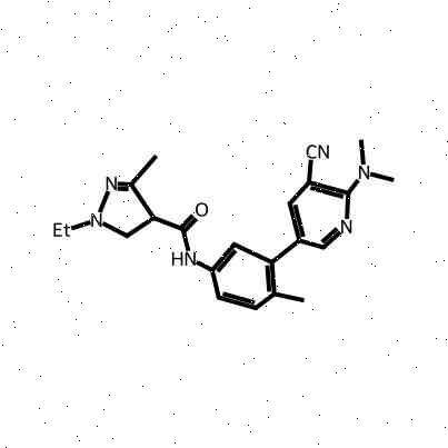 CCN1CC(C(=O)Nc2ccc(C)c(-c3cnc(N(C)C)c(C#N)c3)c2)C(C)=N1